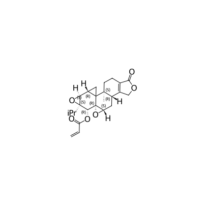 C=CC(=O)O[C@@H]1[C@@]2(C(C)C)O[C@H]2[C@@H]2CC23[C@]12O[C@H]2C[C@H]1C2=C(CC[C@@]13C)C(=O)OC2